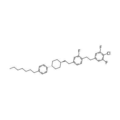 CCCCCCCc1ccc([C@H]2CC[C@H](CCc3ccc(CCc4cc(F)c(Cl)c(F)c4)c(F)c3)CC2)cc1